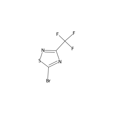 FC(F)(F)c1nsc(Br)n1